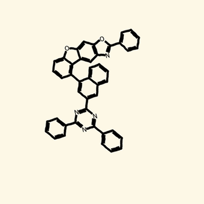 c1ccc(-c2nc(-c3ccccc3)nc(-c3cc(-c4cccc5oc6cc7oc(-c8ccccc8)nc7cc6c45)c4ccccc4c3)n2)cc1